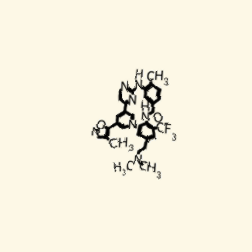 Cc1ccc(C(=O)Nc2ccc(CCN(C)C)cc2C(F)(F)F)cc1Nc1nccc(-c2cncc(-c3oncc3C)c2)n1